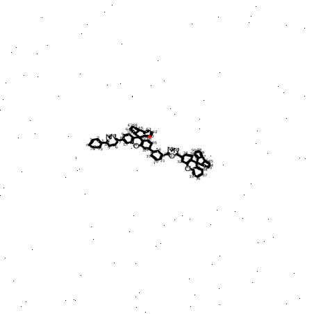 c1ccc(-c2ccc(-c3ccc4c(c3)Oc3cc(-c5cccc(-c6nnc(-c7ccc8c(c7)Oc7ccccc7C87c8ccccc8-c8ccccc87)o6)c5)ccc3C43c4ccccc4-c4ccccc43)nn2)cc1